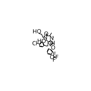 CC1C(=O)N(CCCO)C(O)c2c(nc(Oc3cccc(OC(F)(F)F)c3)n2Cc2ccc(Cl)cc2)N1C